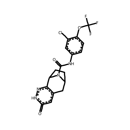 O=C(Nc1ccc(OC(F)(F)F)c(Cl)c1)N1C2CCC1c1n[nH]c(=O)cc1C2